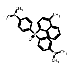 Cc1ccc(P(=O)(c2ccc(N(C)C)cc2)c2ccc(N(C)C)cc2)c2ccccc12